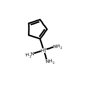 [NH2][Hf]([NH2])([NH2])[C]1=CC=CC1